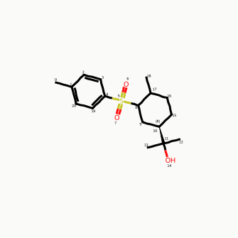 Cc1ccc(S(=O)(=O)C2C[C@H](C(C)(C)O)CCC2C)cc1